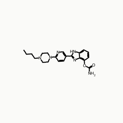 CCCCN1CCN(c2ccc(-c3nc4c(OC(N)=O)cccc4[nH]3)cn2)CC1